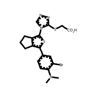 CN(C)c1ccc(-c2sc(-n3cnnc3SCC(=O)O)c3c2CCC3)cc1Br